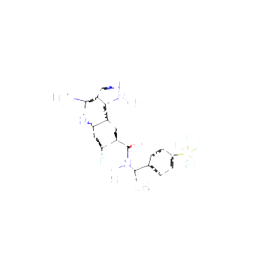 CC(c1ccc(S(F)(F)(F)(F)F)cc1)N(C)C(=O)c1cc2c(cc1F)nc(N)c1cnn(C)c12